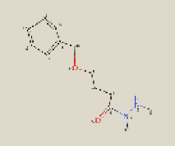 CNN(C)C(=O)CCCOCc1ccccc1